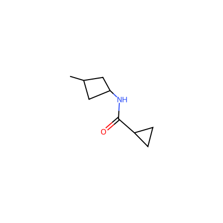 CC1CC(NC(=O)C2CC2)C1